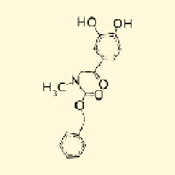 CN(CC(=O)c1ccc(O)c(O)c1)C(=O)OCc1ccccc1